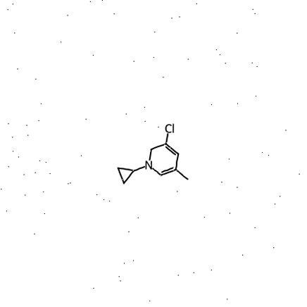 CC1=CN(C2CC2)CC(Cl)=C1